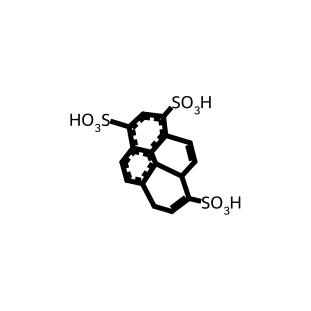 O=S(=O)(O)C1=CCc2ccc3c(S(=O)(=O)O)cc(S(=O)(=O)O)c4c3c2C1C=C4